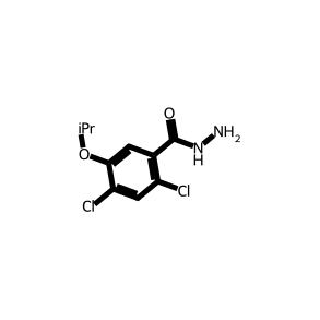 CC(C)Oc1cc(C(=O)NN)c(Cl)cc1Cl